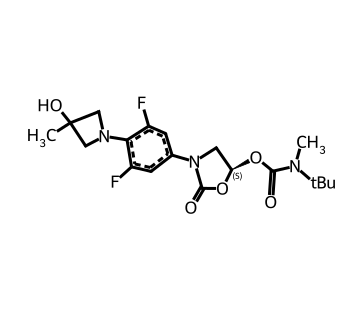 CN(C(=O)O[C@@H]1CN(c2cc(F)c(N3CC(C)(O)C3)c(F)c2)C(=O)O1)C(C)(C)C